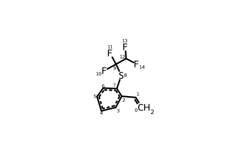 C=Cc1ccccc1SC(F)(F)C(F)F